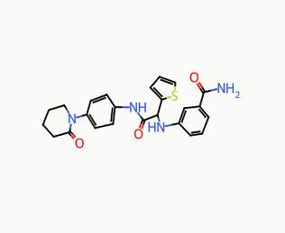 NC(=O)c1cccc(NC(C(=O)Nc2ccc(N3CCCCC3=O)cc2)c2cccs2)c1